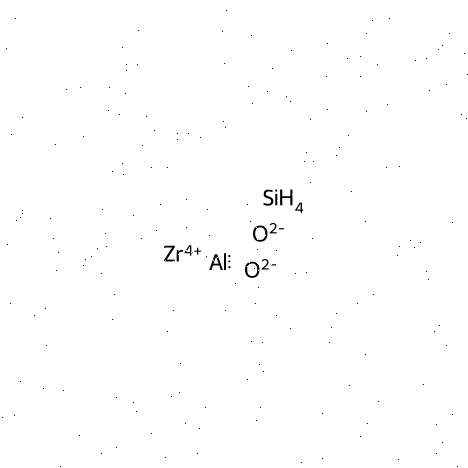 [Al].[O-2].[O-2].[SiH4].[Zr+4]